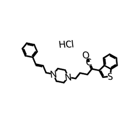 Cl.O=C=C(CCCN1CCN(CC=Cc2ccccc2)CC1)c1csc2ccccc12